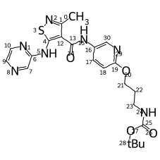 Cc1nsc(Nc2cnccn2)c1C(=O)Nc1ccc(OCCCNC(=O)OC(C)(C)C)nc1